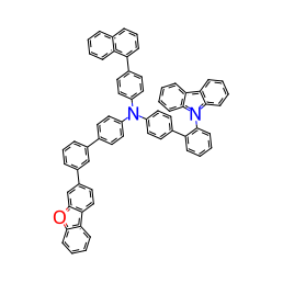 c1cc(-c2ccc(N(c3ccc(-c4ccccc4-n4c5ccccc5c5ccccc54)cc3)c3ccc(-c4cccc5ccccc45)cc3)cc2)cc(-c2ccc3c(c2)oc2ccccc23)c1